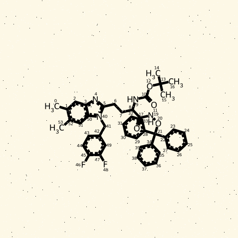 Cc1cc2nc(CCC(NC(=O)OC(C)(C)C)C(=O)NOC(c3ccccc3)(c3ccccc3)c3ccccc3)n(Cc3ccc(F)c(F)c3)c2cc1C